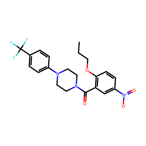 CCCOc1ccc([N+](=O)[O-])cc1C(=O)N1CCN(c2ccc(C(F)(F)F)cc2)CC1